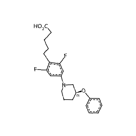 O=C(O)CCCCc1c(F)cc(N2CCC[C@H](Oc3ccccc3)C2)cc1F